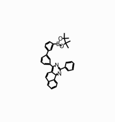 CC1(C)OB(c2cccc(-c3cccc(-c4nc(-c5ccccc5)nc5c4ccc4ccccc45)c3)c2)OC1(C)C